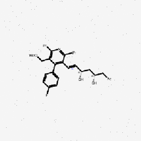 COCc1c(C(C)C)nc(C(C)C)c(/C=C/[C@@H](O)C[C@@H](O)CC(C)=O)c1-c1ccc(F)cc1